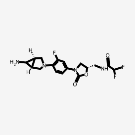 NC1[C@H]2CN(c3ccc(N4C[C@H](CNC(=O)C(F)F)OC4=O)cc3F)C[C@@H]12